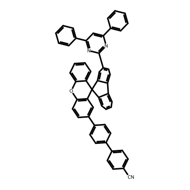 N#Cc1ccc(-c2ccc(-c3ccc4c(c3)C3(c5ccccc5O4)c4ccccc4-c4ccc(-c5nc(-c6ccccc6)cc(-c6ccccc6)n5)cc43)cc2)cc1